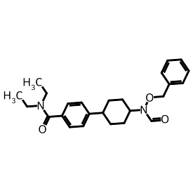 CCN(CC)C(=O)c1ccc(C2CCC(N(C=O)OCc3ccccc3)CC2)cc1